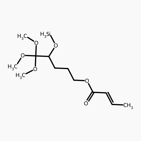 CC=CC(=O)OCCCC(O[SiH3])C(OC)(OC)OC